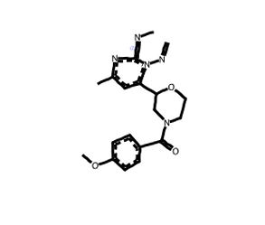 C=Nn1c(C2CN(C(=O)c3ccc(OC)cc3)CCO2)cc(C)n/c1=N/C